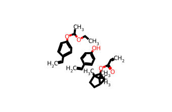 C=CC(=O)OC1CC2CCC1(C)C2(C)C.C=Cc1ccc(O)cc1.C=Cc1ccc(OC(C)OCC)cc1